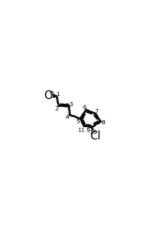 O=CC=CCc1cccc(Cl)c1